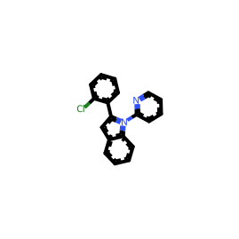 Clc1ccccc1-c1cc2ccccc2n1-c1ccccn1